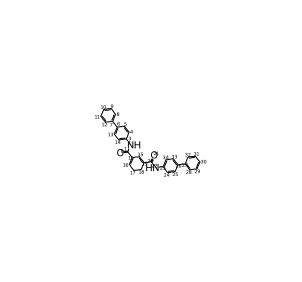 O=C(Nc1ccc(-c2ccccc2)cc1)C1=CCCC(C(=O)Nc2ccc(-c3ccccc3)cc2)=C1